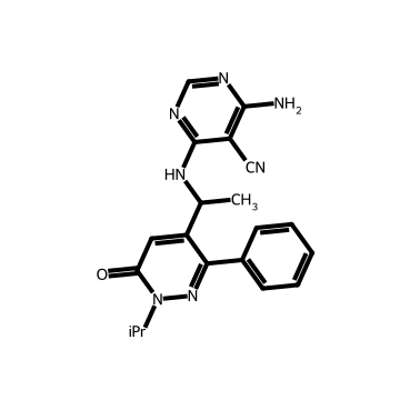 CC(Nc1ncnc(N)c1C#N)c1cc(=O)n(C(C)C)nc1-c1ccccc1